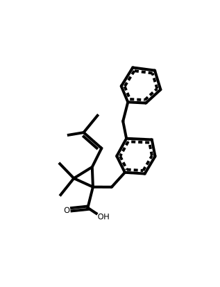 CC(C)=CC1C(C)(C)C1(Cc1cccc(Cc2ccccc2)c1)C(=O)O